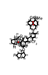 COc1ccc(CN(Cc2ccc(OC)cc2)c2nc(-c3nc4c5c(nc(OC[C@@]67CCCN6C[C@H](F)C7)nc5c3F)N3C[C@H]5CC[C@@H]([C@H]3[C@H](C)O4)N5C(=O)OC(C)(C)C)c(C(F)(F)F)cc2F)cc1